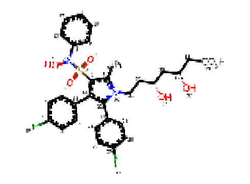 CC(C)c1c(S(=O)(=O)N(O)c2ccccc2)c(-c2ccc(F)cc2)c(-c2ccc(F)cc2)n1CC[C@@H](O)C[C@@H](O)CC(=O)O